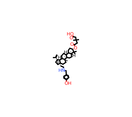 C=C(C)[C@@H]1CC[C@]2(CCNCc3ccc(O)cc3)CC[C@]3(C)[C@H](CC[C@@H]4[C@@]5(C)CC[C@H](OC(=O)CC(C)(C)CC(=O)O)C(C)(C)[C@@H]5CC[C@]43C)[C@@H]12